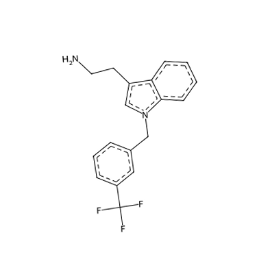 NCCc1cn(Cc2cccc(C(F)(F)F)c2)c2ccccc12